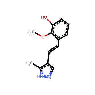 COc1c(O)cccc1C=Cc1cn[nH]c1C